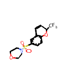 O=S(=O)(c1ccc2c(c1)C=CC(C(F)(F)F)O2)N1CCOCC1